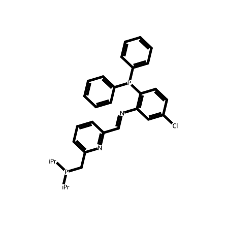 CC(C)P(Cc1cccc(/C=N/c2cc(Cl)ccc2P(c2ccccc2)c2ccccc2)n1)C(C)C